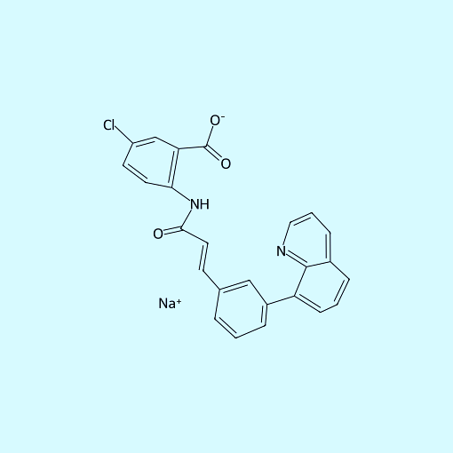 O=C(C=Cc1cccc(-c2cccc3cccnc23)c1)Nc1ccc(Cl)cc1C(=O)[O-].[Na+]